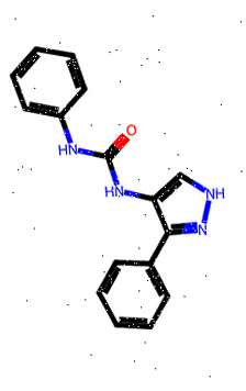 O=C(Nc1ccccc1)Nc1c[nH]nc1-c1ccccc1